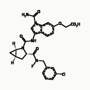 NC(=O)n1cc(NC(=O)N2[C@@H]3C[C@@H]3C[C@H]2C(=O)N(F)Cc2cccc(Cl)c2)c2ccc(OCC(=O)O)cc21